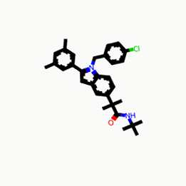 Cc1cc(C)cc(-c2cc3cc(C(C)(C)C(=O)NC(C)(C)C)ccc3n2Cc2ccc(Cl)cc2)c1